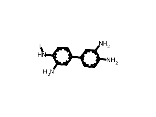 Nc1ccc(-c2ccc(NI)c(N)c2)cc1N